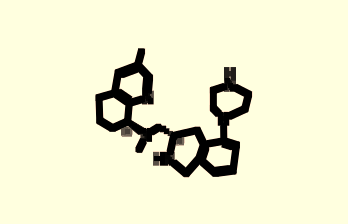 Cc1cnc2c(c1)CCC[C@@H]2N(C)C[C@@H]1Cc2c(cccc2N2CCNCC2)CN1